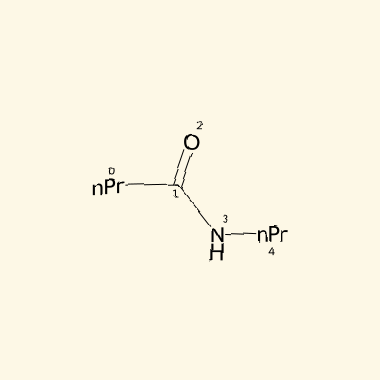 C[CH]CC(=O)NCCC